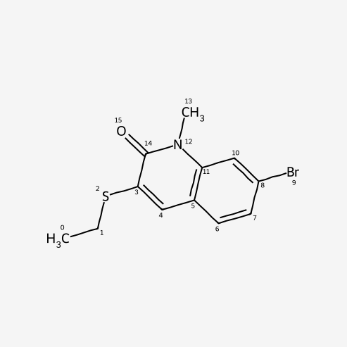 CCSc1cc2ccc(Br)cc2n(C)c1=O